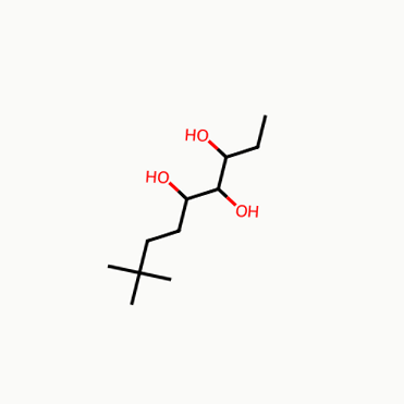 CCC(O)C(O)C(O)CCC(C)(C)C